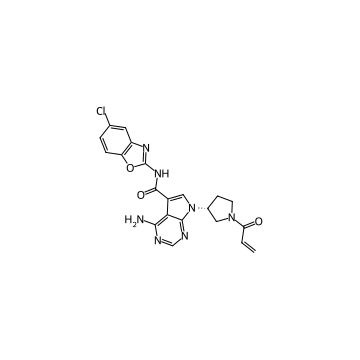 C=CC(=O)N1CC[C@@H](n2cc(C(=O)Nc3nc4cc(Cl)ccc4o3)c3c(N)ncnc32)C1